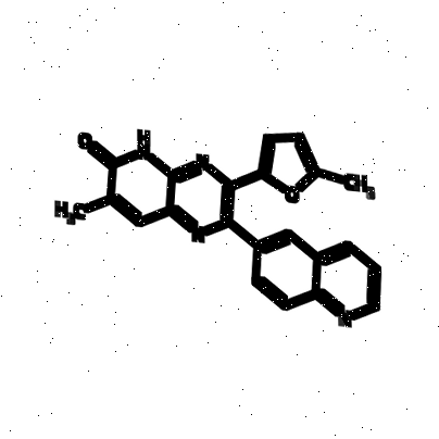 Cc1ccc(-c2nc3[nH]c(=O)c(C)cc3nc2-c2ccc3ncccc3c2)o1